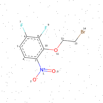 O=[N+]([O-])c1ccc(F)c(F)c1OCCBr